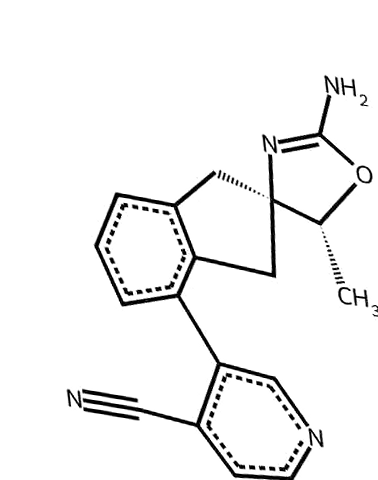 C[C@H]1OC(N)=N[C@@]12Cc1cccc(-c3cnccc3C#N)c1C2